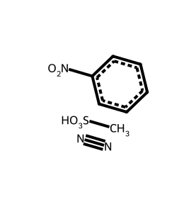 CS(=O)(=O)O.N#N.O=[N+]([O-])c1ccccc1